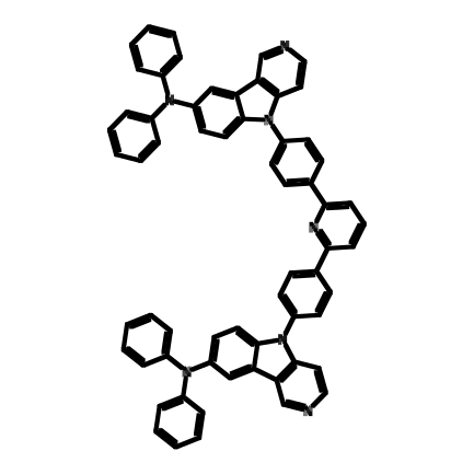 c1ccc(N(c2ccccc2)c2ccc3c(c2)c2cnccc2n3-c2ccc(-c3cccc(-c4ccc(-n5c6ccncc6c6cc(N(c7ccccc7)c7ccccc7)ccc65)cc4)n3)cc2)cc1